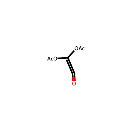 CC(=O)OC(=C=O)OC(C)=O